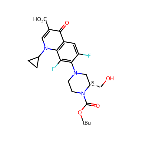 CC(C)(C)OC(=O)N1CCN(c2c(F)cc3c(=O)c(C(=O)O)cn(C4CC4)c3c2F)C[C@@H]1CO